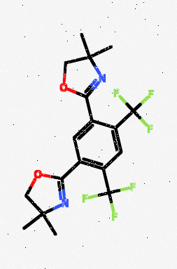 CC1(C)COC(c2cc(C3=NC(C)(C)CO3)c(C(F)(F)F)cc2C(F)(F)F)=N1